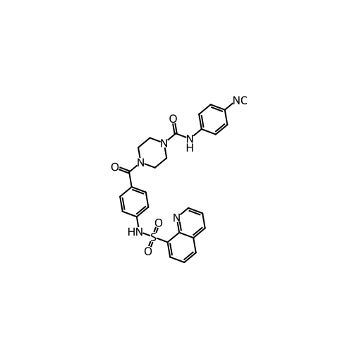 [C-]#[N+]c1ccc(NC(=O)N2CCN(C(=O)c3ccc(NS(=O)(=O)c4cccc5cccnc45)cc3)CC2)cc1